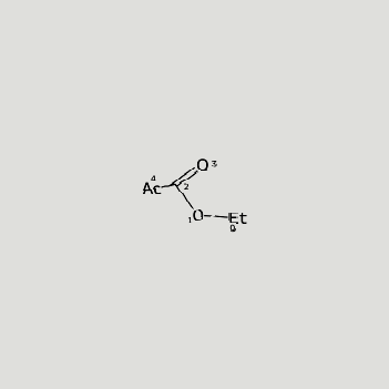 CCOC(=O)[13C](C)=O